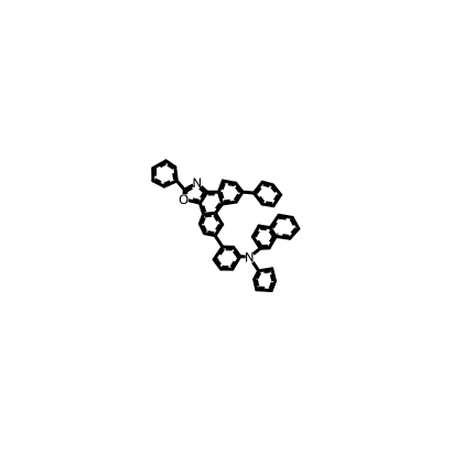 c1ccc(-c2ccc3c(c2)c2cc(-c4cccc(N(c5ccccc5)c5ccc6ccccc6c5)c4)ccc2c2oc(-c4ccccc4)nc32)cc1